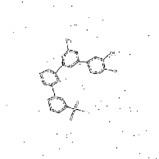 Cc1cc(-c2ccc(C(F)(F)F)c(C)c2)cc(-c2cccc(-c3cccc(S(N)(=O)=O)c3)n2)n1